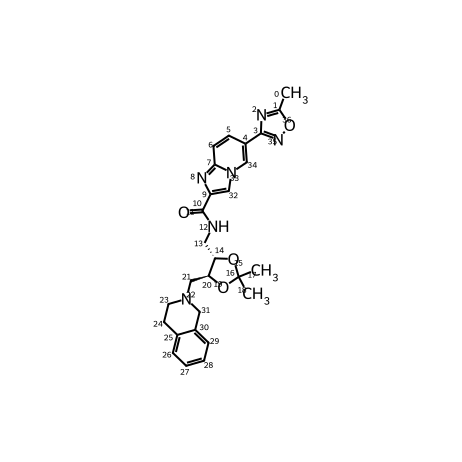 Cc1nc(-c2ccc3nc(C(=O)NC[C@@H]4OC(C)(C)O[C@H]4CN4CCc5ccccc5C4)cn3c2)no1